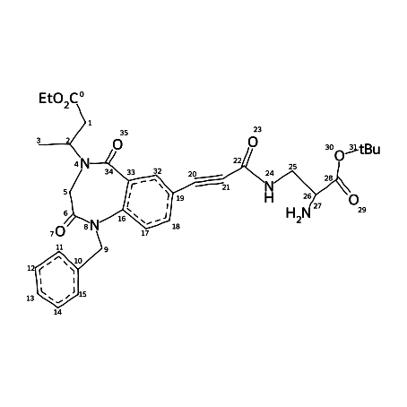 CCOC(=O)CC(C)N1CC(=O)N(Cc2ccccc2)c2ccc(C#CC(=O)NCC(N)C(=O)OC(C)(C)C)cc2C1=O